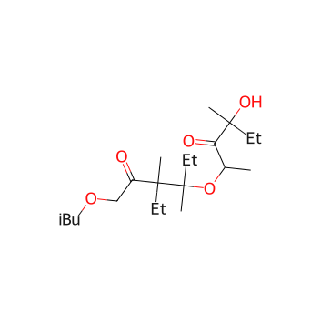 CCC(C)OCC(=O)C(C)(CC)C(C)(CC)OC(C)C(=O)C(C)(O)CC